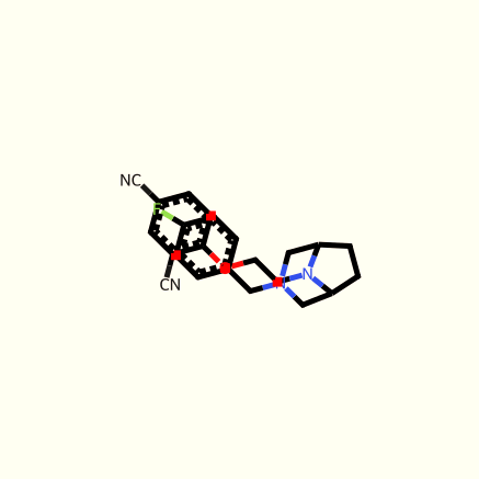 N#Cc1ccc(OCCN2C3CCC2CN(Cc2ccc(F)cc2)C3)c(C#N)c1